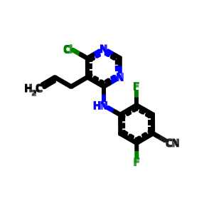 C=CCc1c(Cl)ncnc1Nc1cc(F)c(C#N)cc1F